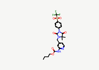 CCCCOC(=O)Nc1cc(CN2C(=O)N(c3ccc(S(=O)(=O)C(F)(F)F)cc3)C(=O)C2(C)C)ccn1